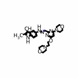 Cc1[nH]c2ccc(N/N=C/c3nc(OCCN4CCOCC4)cc(N4CCOCC4)n3)cc2c1C